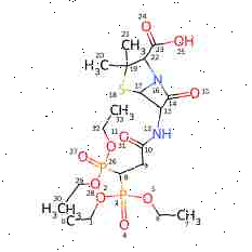 CCOP(=O)(OCC)C(CC(=O)NC1C(=O)N2C1SC(C)(C)C2C(=O)O)P(=O)(OCC)OCC